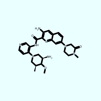 COC1[C@H](N)CN(c2ccncc2NC(=O)c2nc3cc(N4CCN(C)C(=O)C4)ccc3cc2N)C[C@@H]1C